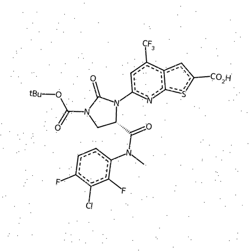 CN(C(=O)[C@@H]1CN(C(=O)OC(C)(C)C)C(=O)N1c1cc(C(F)(F)F)c2cc(C(=O)O)sc2n1)c1ccc(F)c(Cl)c1F